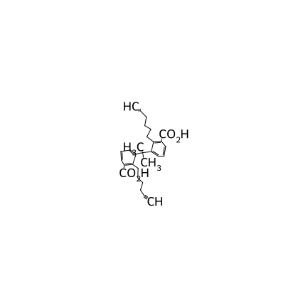 C#CCCCCc1c(C(=O)O)cccc1C(C)(C)c1cccc(C(=O)O)c1CCCCC#C